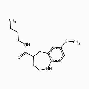 CCCCNC(=O)C1CCNc2ccc(OC)cc2C1